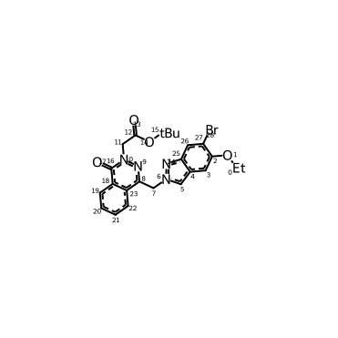 CCOc1cc2cn(Cc3nn(CC(=O)OC(C)(C)C)c(=O)c4ccccc34)nc2cc1Br